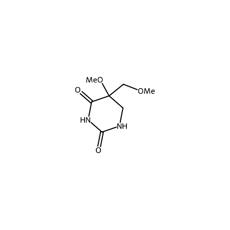 COCC1(OC)CNC(=O)NC1=O